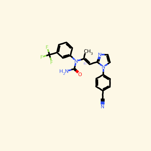 C/C(=C\c1nccn1-c1ccc(C#N)cc1)N(C(N)=O)c1cccc(C(F)(F)F)c1